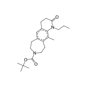 CCCN1C(=O)CCc2cc3c(c(C)c21)CCN(C(=O)OC(C)(C)C)CC3